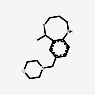 CC1SCCCNc2ccc(CN3CCOCC3)cc21